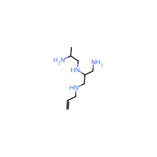 C=CCNCC(CN)NCC(C)N